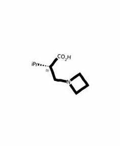 CC(C)[C@@H](CN1CCC1)C(=O)O